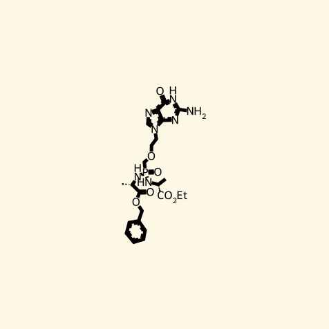 CCOC(=O)[C@@H](C)NP(=O)(COCCn1cnc2c(=O)[nH]c(N)nc21)N[C@@H](C)C(=O)OCc1ccccc1